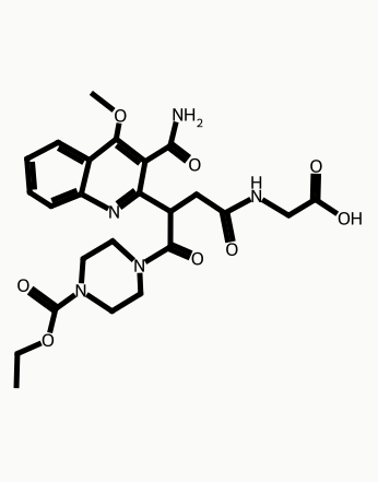 CCOC(=O)N1CCN(C(=O)C(CC(=O)NCC(=O)O)c2nc3ccccc3c(OC)c2C(N)=O)CC1